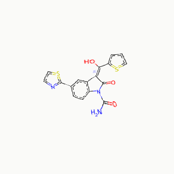 NC(=O)N1C(=O)/C(=C(/O)c2cccs2)c2cc(-c3nccs3)ccc21